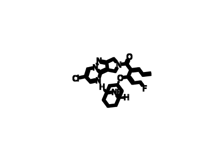 C=C/C=C(C(=O)N1Cc2nn3cc(Cl)cnc3c2C1)\C(=C/CF)O[C@H]1C[C@H]2CCC[C@@H](C1)N2